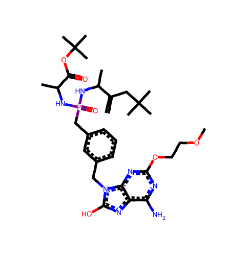 C=C(CC(C)(C)C)C(C)NP(=O)(Cc1cccc(Cn2c(O)nc3c(N)nc(OCCOC)nc32)c1)NC(C)C(=O)OC(C)(C)C